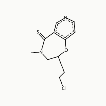 CN1CC(CCCl)Oc2ccncc2C1=S